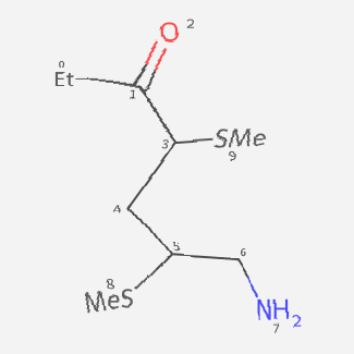 CCC(=O)C(CC(CN)SC)SC